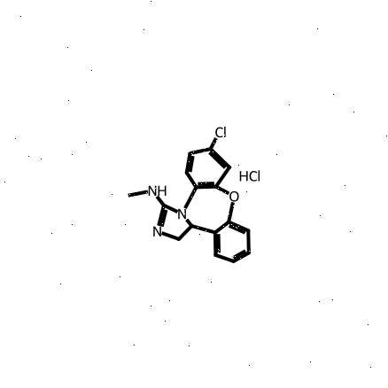 CNC1=NCC2c3ccccc3Oc3cc(Cl)ccc3N12.Cl